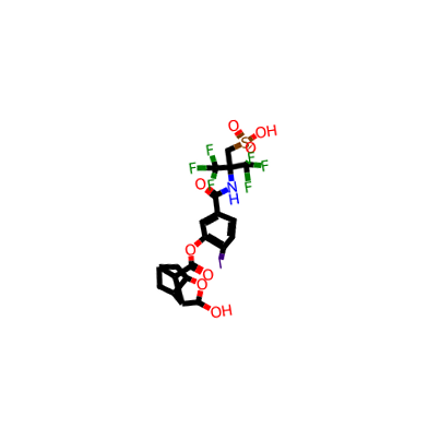 O=C(NC(CS(=O)(=O)O)(C(F)(F)F)C(F)(F)F)c1ccc(I)c(OC(=O)C2C3CC4OC(O)C2C4C3)c1